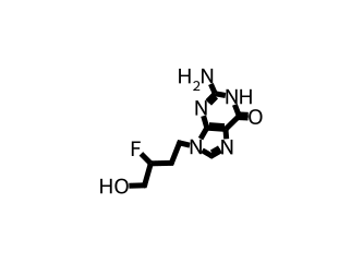 Nc1nc2c(ncn2CCC(F)CO)c(=O)[nH]1